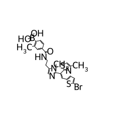 Cc1csc(/C(=C\c2ccc(Br)s2)c2ncc(CCNC(=O)c3ccc(B(O)O)c(C)c3)n2C)n1